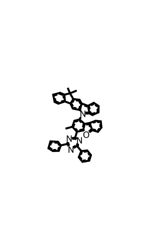 Cc1cc(-n2c3ccccc3c3cc4c(cc32)-c2ccccc2C4(C)C)c2c(oc3ccccc32)c1-c1nc(-c2ccccc2)nc(-c2ccccc2)n1